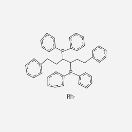 [Rh].c1ccc(CCC(C(CCc2ccccc2)P(c2ccccc2)c2ccccc2)P(c2ccccc2)c2ccccc2)cc1